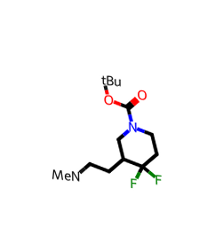 CNCCC1CN(C(=O)OC(C)(C)C)CCC1(F)F